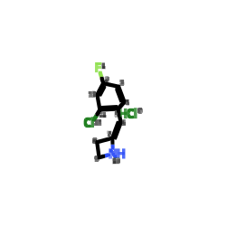 Cl.Fc1ccc(C=C2CCN2)c(Cl)c1